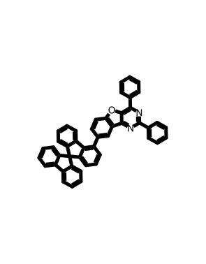 c1ccc(-c2nc(-c3ccccc3)c3oc4ccc(-c5cccc6c5-c5ccccc5C65c6ccccc6-c6ccccc65)cc4c3n2)cc1